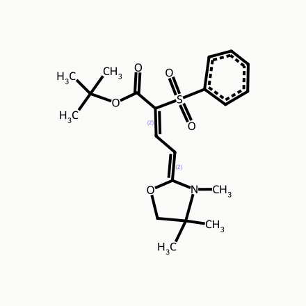 CN1/C(=C/C=C(/C(=O)OC(C)(C)C)S(=O)(=O)c2ccccc2)OCC1(C)C